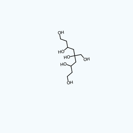 OCCC(O)CC(O)(CO)CC(O)CCO